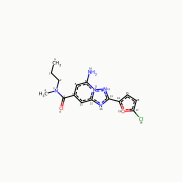 CCCN(C)C(=O)c1cc(N)n2nc(-c3ccc(Cl)o3)nc2c1